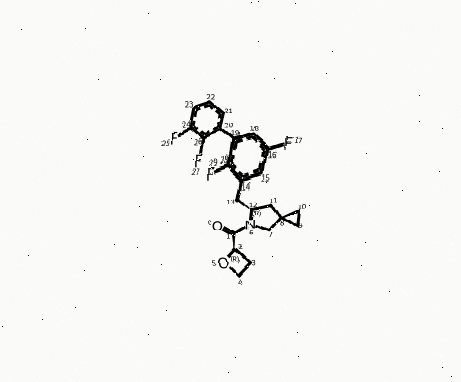 O=C([C@H]1CCO1)N1CC2(CC2)C[C@@H]1Cc1cc(F)cc(-c2cccc(F)c2F)c1F